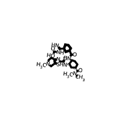 CN1CCc2nc(C(=O)N[C@H]3C[C@@H](C(=O)N(C)C)CC[C@@H]3NC(=O)c3cccc(C(=N)NC(=O)O)c3)sc2C1